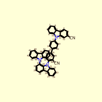 N#Cc1ccc2c3ccccc3n(-c3ccc(-c4ccc(-n5c6ccccc6c6cccc(-n7c8ccccc8c8ccccc87)c65)c(C#N)c4)cc3)c2c1